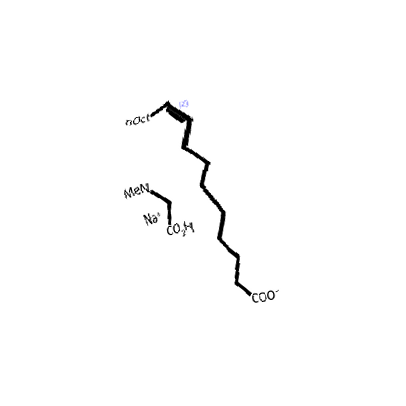 CCCCCCCC/C=C\CCCCCCCC(=O)[O-].CNCC(=O)O.[Na+]